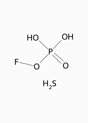 O=P(O)(O)OF.S